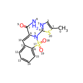 Cc1cnc(N2C(C(N)=O)=Cc3ccccc3S2(=O)=O)s1